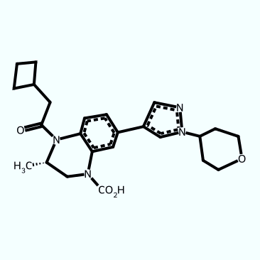 C[C@H]1CN(C(=O)O)c2cc(-c3cnn(C4CCOCC4)c3)ccc2N1C(=O)CC1CCC1